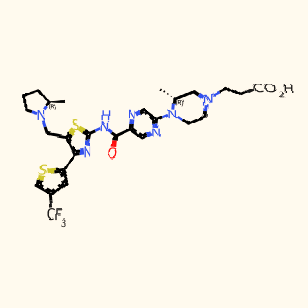 C[C@@H]1CCCN1Cc1sc(NC(=O)c2cnc(N3CCN(CCC(=O)O)C[C@H]3C)cn2)nc1-c1cc(C(F)(F)F)cs1